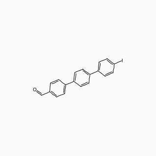 O=Cc1ccc(-c2ccc(-c3ccc(I)cc3)cc2)cc1